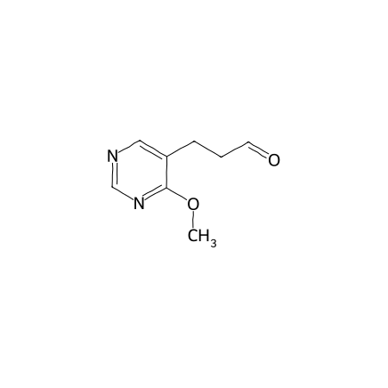 COc1ncncc1CCC=O